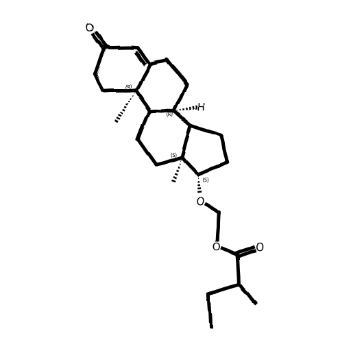 CCC(C)C(=O)OCO[C@H]1CCC2[C@@H]3CCC4=CC(=O)CC[C@]4(C)C3CC[C@@]21C